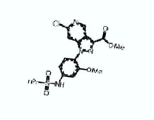 CCCS(=O)(=O)Nc1ccc(-n2nc(C(=O)OC)c3cnc(Cl)cc32)c(OC)c1